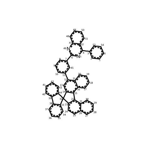 c1ccc(-c2nc(-c3cccc(-c4cc5c(c6ccccc46)-c4c(ccc6ccccc46)C54c5ccccc5-c5ccccc54)c3)nc3ccccc23)cc1